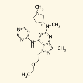 CCOCCn1nc(C)c2nc(N(C)[C@@H]3CCN(C)C3)nc(Nc3ccncn3)c21